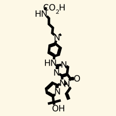 C=CCn1c(=O)c2cnc(Nc3ccc(N(C)CCCCNC(=O)O)cc3)nc2n1-c1cccc(C(C)(C)O)n1